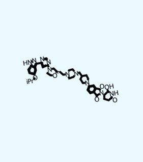 CC(C)Oc1ccc2[nH]nc(-c3cc(N4CCO[C@@H](CCN5CCN(CC6CCN(c7ccc8c(c7)C(=O)N(C7CCC(=O)NC7O)C8=O)CC6)CC5)C4)ncn3)c2c1